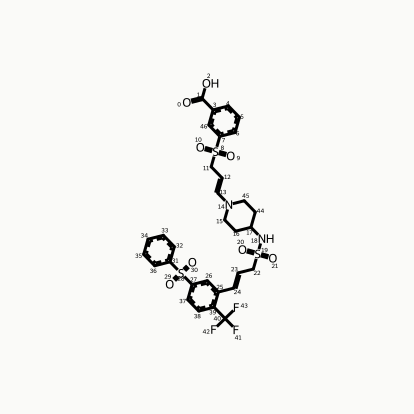 O=C(O)c1cccc(S(=O)(=O)CC=CN2CCC(NS(=O)(=O)CC=Cc3cc(S(=O)(=O)c4ccccc4)ccc3C(F)(F)F)CC2)c1